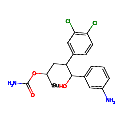 CC(C)(C)C(CC(c1ccc(Cl)c(Cl)c1)C(O)c1cccc(N)c1)OC(N)=O